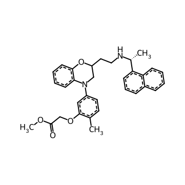 COC(=O)COc1cc(N2CC(CCN[C@H](C)c3cccc4ccccc34)Oc3ccccc32)ccc1C